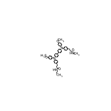 CCCNC(=O)CCc1ccc(N(c2ccc(OC)cc2)c2ccc(-c3ccc(N(c4ccc(CCC(=O)NC)cc4)c4ccc(OC)cc4)cc3)cc2)cc1